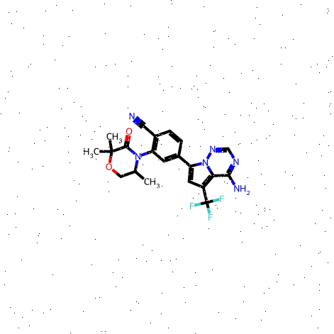 CC1COC(C)(C)C(=O)N1c1cc(-c2cc(C(F)(F)F)c3c(N)ncnn23)ccc1C#N